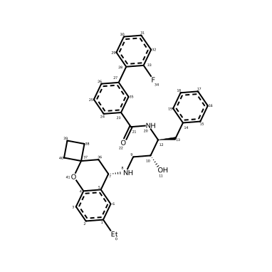 CCc1ccc2c(c1)[C@@H](NC[C@@H](O)[C@H](Cc1ccccc1)NC(=O)c1cccc(-c3ccccc3F)c1)CC1(CCC1)O2